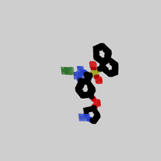 Cl.O=S(=O)(c1cccc2ccccc12)c1n[nH]c2ccc(OC3CCNC3)cc12